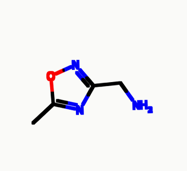 Cc1nc(CN)no1